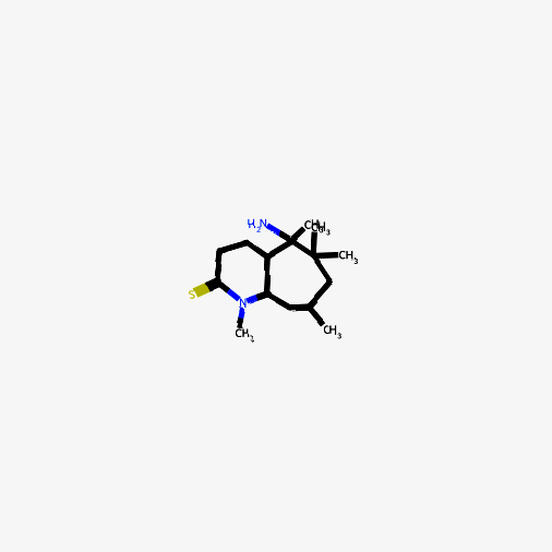 CC1CC2C(CCC(=S)N2C)C(C)(N)C(C)(C)C1